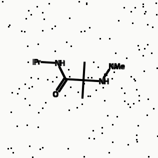 CNNC(C)(C)C(=O)NC(C)C